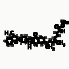 C[C@H](CC(=O)N1CCC(O)(Cn2cnc3cc(N(C)CCN(C)CCCNC(=O)OC(C)(C)C)ccc3c2=O)CC1)c1ccccc1